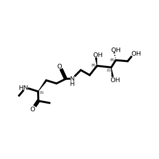 CN[C@@H](CCC(=O)NCC[C@@H](O)[C@H](O)[C@H](O)CO)C(C)=O